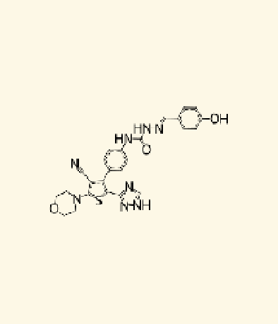 N#Cc1c(N2CCOCC2)sc(-c2nc[nH]n2)c1-c1ccc(NC(=O)N/N=C/c2ccc(O)cc2)cc1